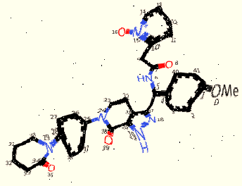 COc1ccc(C(NC(=O)Cc2cccc[n+]2[O-])c2n[nH]c3c2CCN(c2ccc(N4CCCCC4=O)cc2)C3=O)cc1